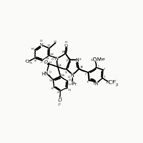 COc1cc(C(F)(F)F)ncc1-c1nc2c(n1C(C)C)C1(C(=O)Nc3cc(Cl)ccc31)N(c1cc(Cl)cnc1C)C2=O